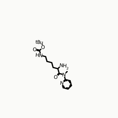 CN(C(=O)C(N)CCCCNC(=O)OC(C)(C)C)c1ccccn1